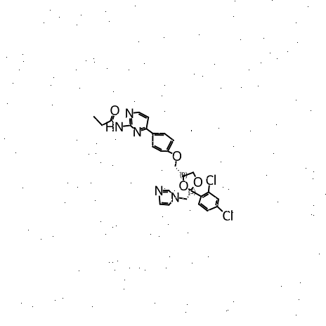 CCC(=O)Nc1nccc(-c2ccc(OC[C@@H]3CO[C@@](Cn4ccnc4)(c4ccc(Cl)cc4Cl)O3)cc2)n1